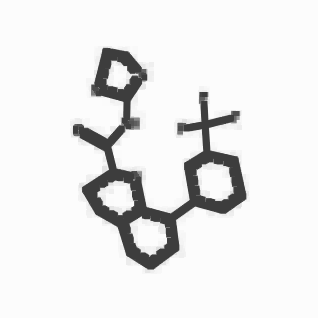 O=C(Nc1nccs1)c1ccc2cccc(-c3cccc(C(F)(F)F)c3)c2n1